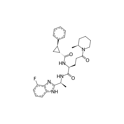 C[C@H](NC(=O)[C@H](CCC(=O)N1CCCC[C@@H]1C)NC(=O)[C@@H]1C[C@H]1c1ccccc1)c1nc2c(F)cccc2[nH]1